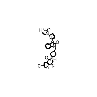 O=C(NC1CCC(Cn2c(=O)n(-c3cccc(-n4cc[nH]c4=O)n3)c3ccccc32)CC1)c1cc(Cl)cnc1C(F)F